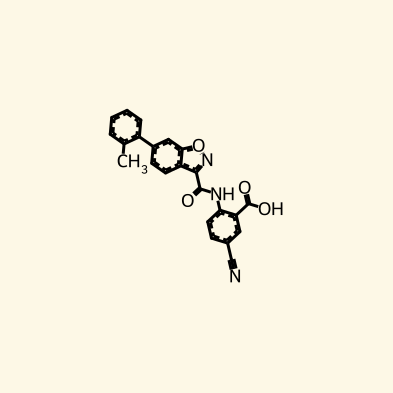 Cc1ccccc1-c1ccc2c(C(=O)Nc3ccc(C#N)cc3C(=O)O)noc2c1